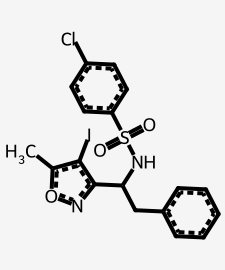 Cc1onc(C(Cc2ccccc2)NS(=O)(=O)c2ccc(Cl)cc2)c1I